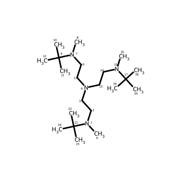 CN(CCN(CCN(C)C(C)(C)C)CCN(C)C(C)(C)C)C(C)(C)C